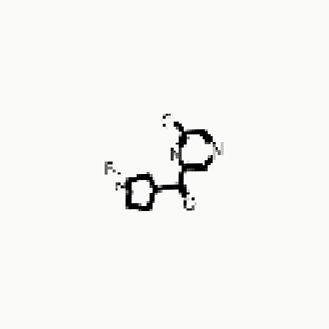 O=C(c1cncc(Cl)n1)C1CC[C@H](F)C1